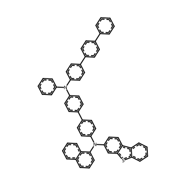 c1ccc(-c2ccc(-c3ccc(N(c4ccccc4)c4ccc(-c5ccc(N(c6ccc7c(c6)sc6ccccc67)c6cccc7ccccc67)cc5)cc4)cc3)cc2)cc1